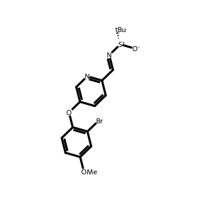 COc1ccc(Oc2ccc(/C=N/[S@@+]([O-])C(C)(C)C)nc2)c(Br)c1